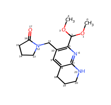 COC(OC)c1nc2c(cc1CN1CCCC1=O)CCCN2